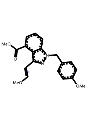 CO/C=C/c1nn(Cc2ccc(OC)cc2)c2cccc(C(=O)OC)c12